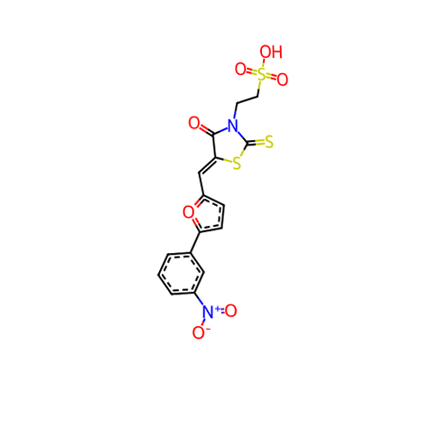 O=C1C(=Cc2ccc(-c3cccc([N+](=O)[O-])c3)o2)SC(=S)N1CCS(=O)(=O)O